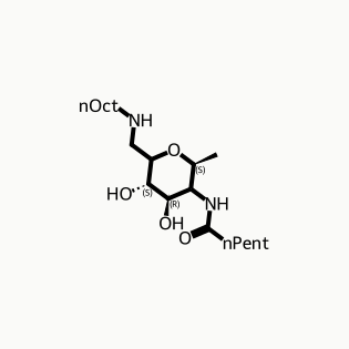 CCCCCCCCNCC1O[C@@H](C)C(NC(=O)CCCCC)[C@@H](O)[C@@H]1O